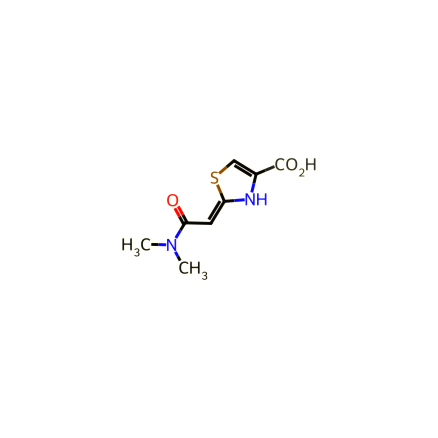 CN(C)C(=O)/C=C1/NC(C(=O)O)=CS1